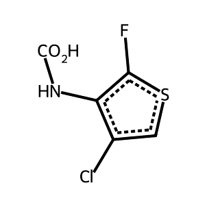 O=C(O)Nc1c(Cl)csc1F